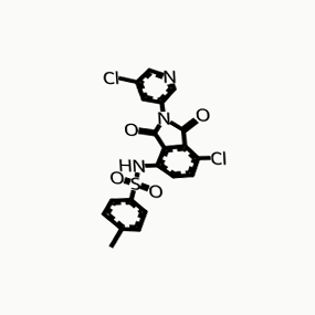 Cc1ccc(S(=O)(=O)Nc2ccc(Cl)c3c2C(=O)N(c2cncc(Cl)c2)C3=O)cc1